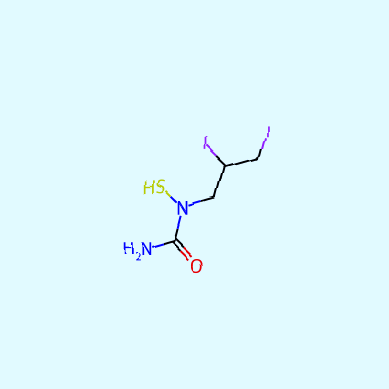 NC(=O)N(S)CC(I)CI